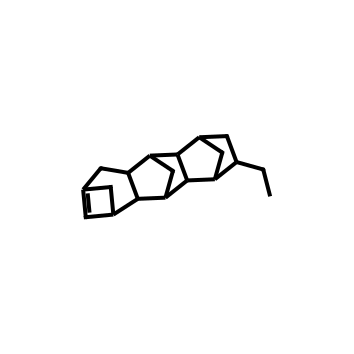 CCC1CC2CC1C1C3CC(C4CC5=CC(C5)C43)C21